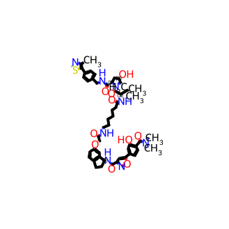 Cc1ncsc1-c1ccc(CNC(=O)[C@@H]2C[C@@H](O)CN2C(=O)[C@@H](NC(=O)CCCCCCNC(=O)COc2ccc3c(c2)[C@H](NC(=O)c2cc(-c4ccc(C(=O)N(C)C)c(O)c4)on2)CC3)C(C)(C)C)cc1